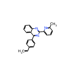 C=Cc1ccc(-c2nc(-c3cccc(C)n3)nc3ccccc23)cc1